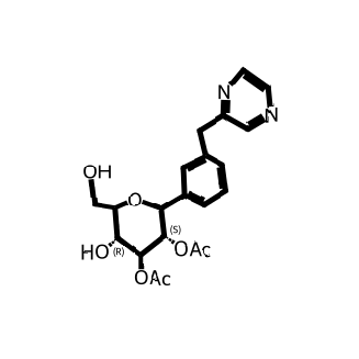 CC(=O)OC1[C@H](O)C(CO)OC(c2cccc(Cc3cnccn3)c2)[C@@H]1OC(C)=O